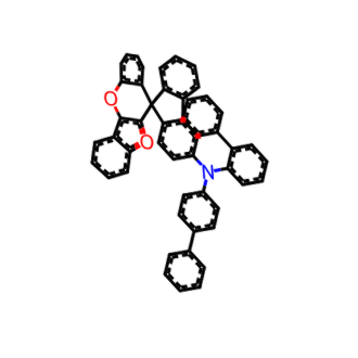 c1ccc(-c2ccc(N(c3ccc4c(c3)-c3ccccc3C43c4ccccc4Oc4c3oc3ccccc43)c3ccccc3-c3ccccc3)cc2)cc1